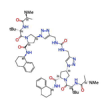 CN[C@@H](C)C(=O)N[C@H](C(=O)N1C[C@@H](n2cc(CNC(=O)NCc3cn([C@H]4C[C@@H](C(=O)N[C@@H]5CCCc6ccccc65)N(C(=O)[C@@H](NC(=O)[C@H](C)NC)C(C)(C)C)C4)nn3)nn2)C[C@H]1C(=O)N[C@@H]1CCCc2ccccc21)C(C)(C)C